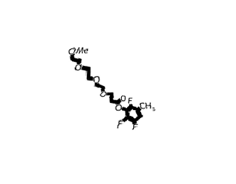 COCCOCCOCCOCCC(=O)Oc1c(F)c(C)cc(F)c1F